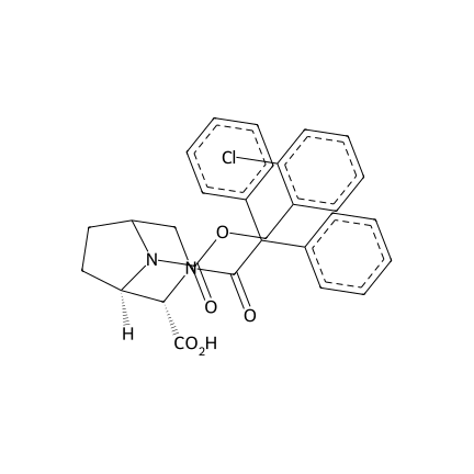 O=C(O)[C@@H]1[C@H]2CCC(CN1C(=O)C(c1ccccc1)c1ccccc1)N2C(=O)OCc1ccccc1Cl